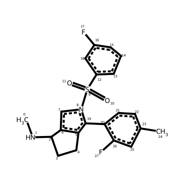 CNC1CCc2c1cn(S(=O)(=O)c1cccc(F)c1)c2-c1ccc(C)cc1F